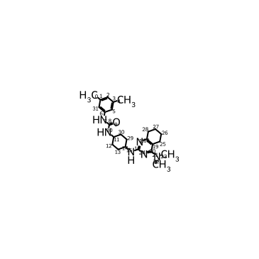 Cc1cc(C)cc(NC(=O)NC2CCC(Nc3nc4c(c(N(C)C)n3)CCCC4)CC2)c1